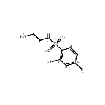 O=S(=O)(NCCO)c1ccc(Br)cc1F